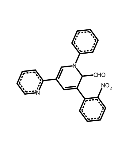 O=CC1C(c2ccccc2[N+](=O)[O-])=CC(c2ccccn2)=CN1c1ccccc1